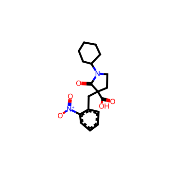 O=C(O)C1(Cc2ccccc2[N+](=O)[O-])CCN(C2CCCCC2)C1=O